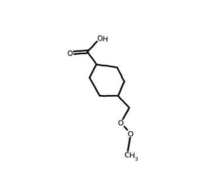 COOCC1CCC(C(=O)O)CC1